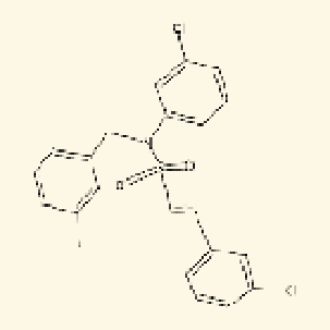 Cc1cccc(CN(c2cccc(Cl)c2)S(=O)(=O)/C=C/c2cccc(Cl)c2)c1